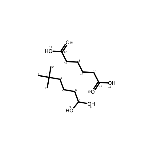 CC(C)(C)CCCC(O)O.O=C(O)CCCCC(=O)O